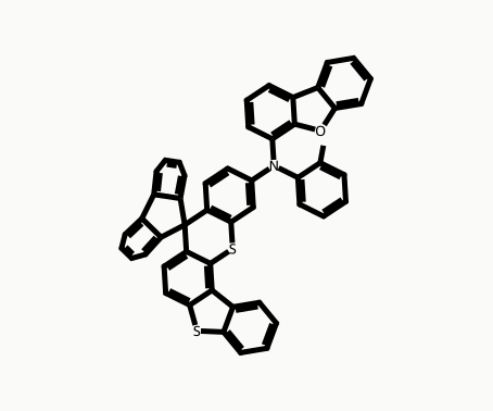 Cc1ccccc1N(c1ccc2c(c1)Sc1c(ccc3sc4ccccc4c13)C21c2ccccc2-c2ccccc21)c1cccc2c1oc1ccccc12